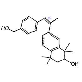 C/C(=C/c1ccc(CO)cc1)c1ccc2c(c1)C(C)(C)C(O)CC2(C)C